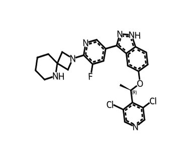 C[C@@H](Oc1ccc2[nH]nc(-c3cnc(N4CC5(CCCCN5)C4)c(F)c3)c2c1)c1c(Cl)cncc1Cl